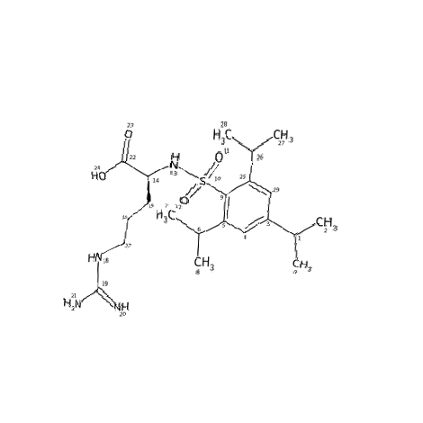 CC(C)c1cc(C(C)C)c(S(=O)(=O)N[C@@H](CCCNC(=N)N)C(=O)O)c(C(C)C)c1